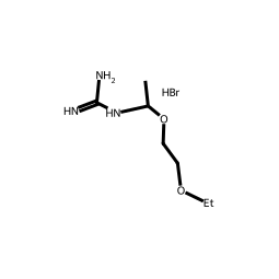 Br.CCOCCOC(C)NC(=N)N